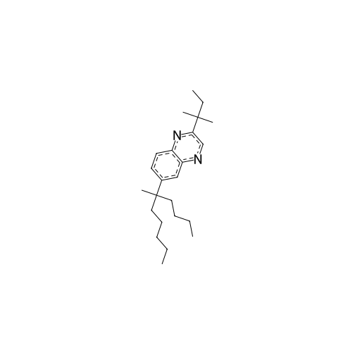 CCCCCC(C)(CCCC)c1ccc2nc(C(C)(C)CC)cnc2c1